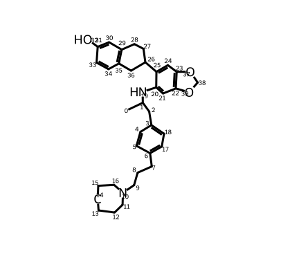 CC(Cc1ccc(CCCN2CCCCCC2)cc1)Nc1cc2c(cc1C1CCc3cc(O)ccc3C1)OCO2